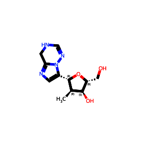 C[C@@H]1[C@H](O)[C@@H](CO)O[C@H]1c1cnc2n1N=CNC2